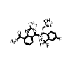 CNC[C@@H](Nc1nc(C)nc2c(C(N)=O)cccc12)c1ccc(F)cc1C(F)(F)F